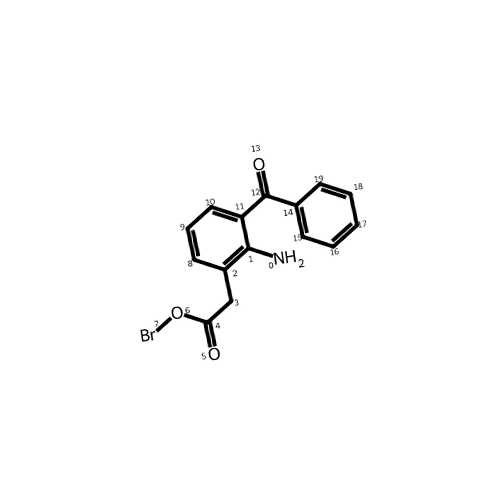 Nc1c(CC(=O)OBr)cccc1C(=O)c1ccccc1